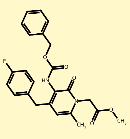 COC(=O)Cn1c(C)cc(Cc2ccc(F)cc2)c(NC(=O)OCc2ccccc2)c1=O